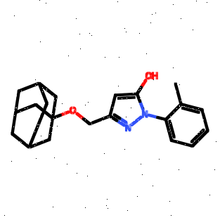 Cc1ccccc1-n1nc(COC23CC4CC(CC(C4)C2)C3)cc1O